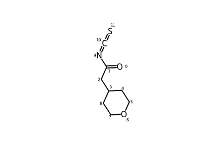 O=C(CC1CCOCC1)N=C=S